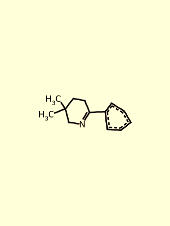 CC1(C)CCC(c2ccccc2)=NC1